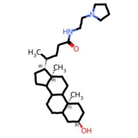 CC(CCC(=O)NCCN1CCCC1)[C@H]1CCC2C3CCC4C[C@H](O)CC[C@]4(C)C3CC[C@@]21C